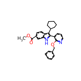 COC(=O)c1ccc2c(C3CCCCC3)c(-c3cccnc3OCc3ccccc3)[nH]c2c1